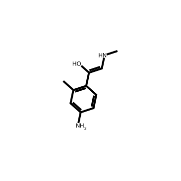 CN/C=C(\O)c1ccc(N)cc1C